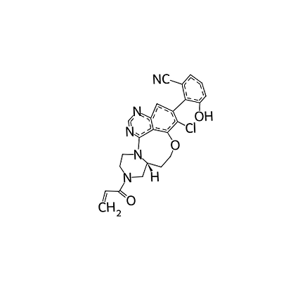 C=CC(=O)N1CCN2c3ncnc4cc(-c5c(O)cccc5C#N)c(Cl)c(c34)OCC[C@@H]2C1